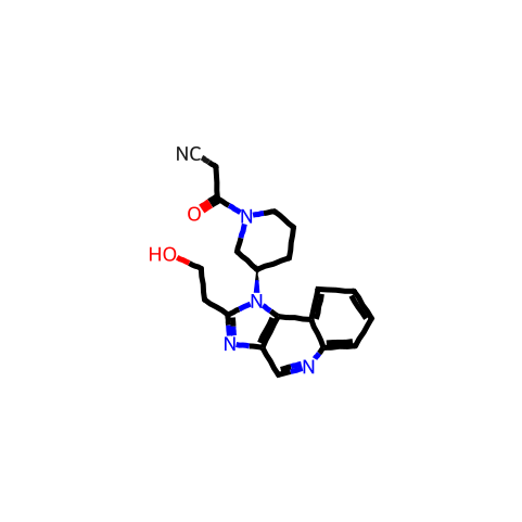 N#CCC(=O)N1CCC[C@@H](n2c(CCO)nc3cnc4ccccc4c32)C1